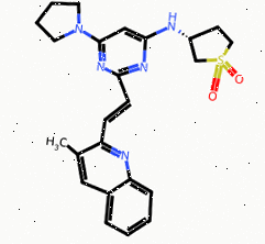 Cc1cc2ccccc2nc1/C=C/c1nc(N[C@@H]2CCS(=O)(=O)C2)cc(N2CCCC2)n1